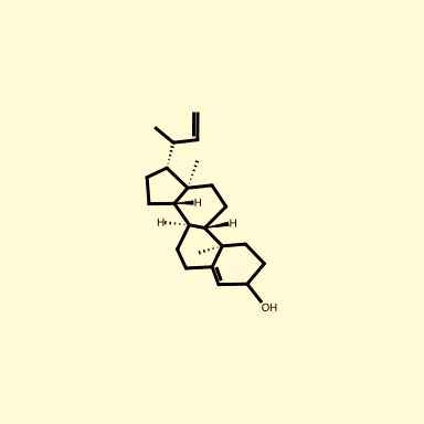 C=CC(C)[C@H]1CC[C@H]2[C@@H]3CCC4=CC(O)CC[C@]4(C)[C@H]3CC[C@]12C